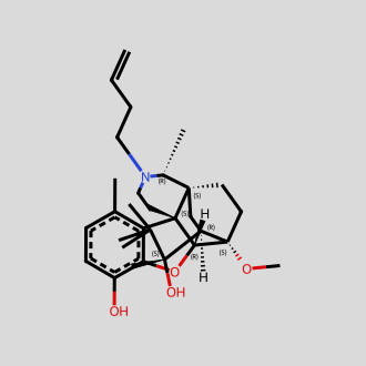 C=CCCN1CC[C@]23c4c(C)ccc(O)c4O[C@H]2[C@]2(OC)CC[C@@]3(C[C@@H]2[C@](C)(O)C(C)(C)C)[C@H]1C